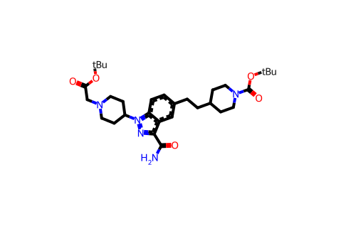 CC(C)(C)OC(=O)CN1CCC(n2nc(C(N)=O)c3cc(CCC4CCN(C(=O)OC(C)(C)C)CC4)ccc32)CC1